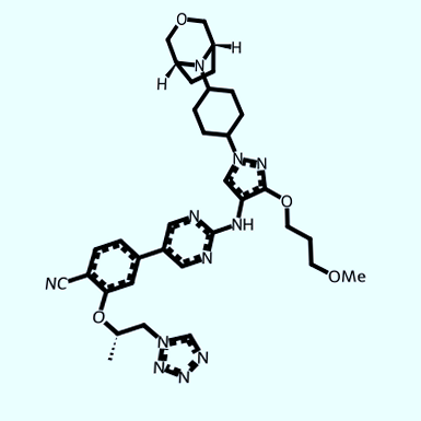 COCCCOc1nn(C2CCC(N3[C@@H]4CC[C@H]3COC4)CC2)cc1Nc1ncc(-c2ccc(C#N)c(O[C@@H](C)Cn3cnnn3)c2)cn1